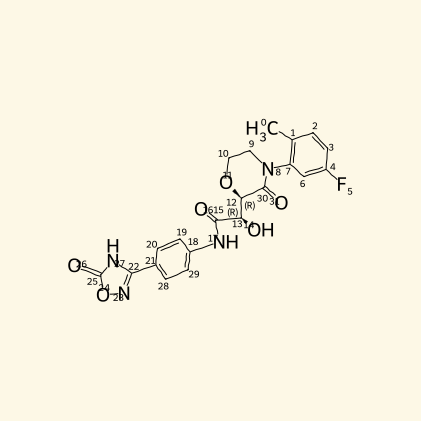 Cc1ccc(F)cc1N1CCO[C@H]([C@@H](O)C(=O)Nc2ccc(-c3noc(=O)[nH]3)cc2)C1=O